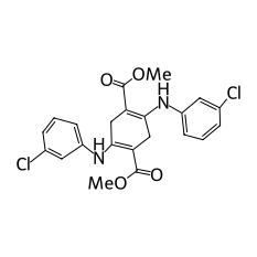 COC(=O)C1=C(Nc2cccc(Cl)c2)CC(C(=O)OC)=C(Nc2cccc(Cl)c2)C1